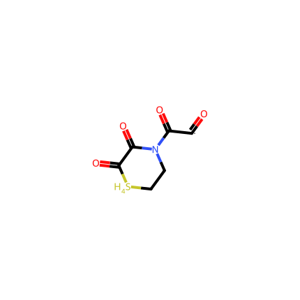 O=[C]C(=O)N1CC[SH4]C(=O)C1=O